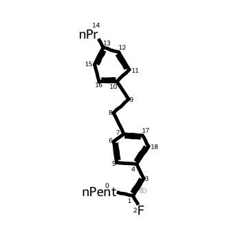 CCCCC/C(F)=C\c1ccc(CCc2ccc(CCC)cc2)cc1